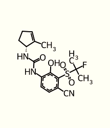 CC1=CCC[C@H]1NC(=O)Nc1ccc(C#N)c(S(=O)(=O)C(C)(C)F)c1O